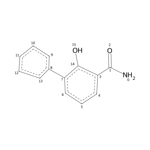 NC(=O)c1cccc(-c2ccccc2)c1O